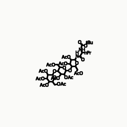 CCCC(NC(=O)OC(C)(C)C)C(=O)NC1OC(COC(C)=O)C(OC2OC(COC(C)=O)C(OC3OC(COC(C)=O)C(OC(C)=O)C(OC(C)=O)C3OC(C)=O)C(OC(C)=O)C2OC(C)=O)C(OC(C)=O)C1OC(C)=O